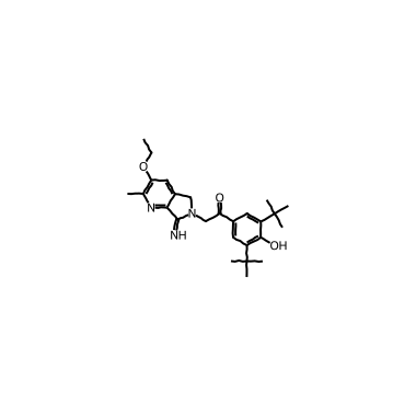 CCOc1cc2c(nc1C)C(=N)N(CC(=O)c1cc(C(C)(C)C)c(O)c(C(C)(C)C)c1)C2